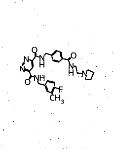 Cc1cc(CNC(=O)c2cc(C(=O)NCc3ccc(C(=O)NCCN4CCCC4)cc3)ncn2)ccc1F